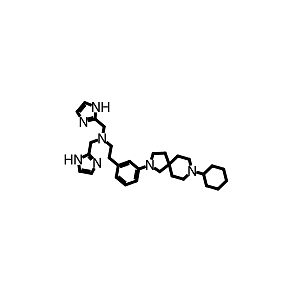 c1cc(CCN(Cc2ncc[nH]2)Cc2ncc[nH]2)cc(N2CCC3(CCN(C4CCCCC4)CC3)C2)c1